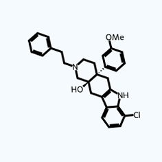 COc1cccc([C@@]23CCN(CCc4ccccc4)C[C@@]2(O)Cc2c([nH]c4c(Cl)cccc24)C3)c1